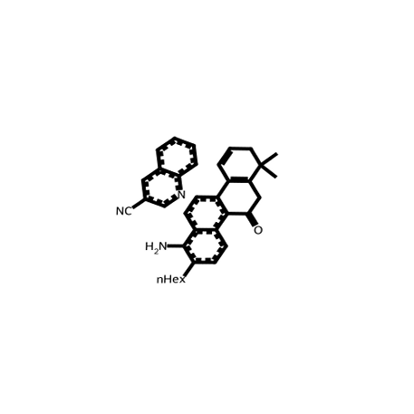 CCCCCCc1ccc2c3c(ccc2c1N)C1=C(CC3=O)C(C)(C)CC=C1.N#Cc1cnc2ccccc2c1